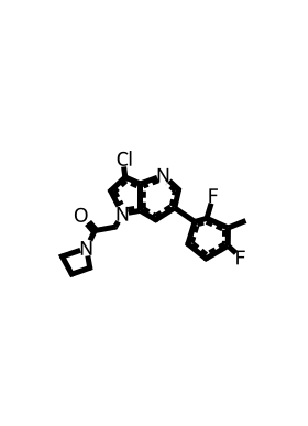 Cc1c(F)ccc(-c2cnc3c(Cl)cn(CC(=O)N4CCC4)c3c2)c1F